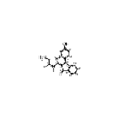 CC(CN)N(C)c1nc2cc(O)ccc2c2c1C(=O)c1ccccc1-2